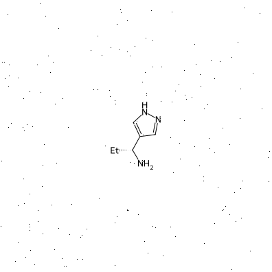 CC[C@@H](N)c1cn[nH]c1